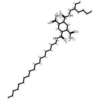 CCCCCCCCCCCCCCCCCCNC(=O)C1CC(C(N)=O)C(C(=O)NCC(CC)CCCC)CC1C(N)=O